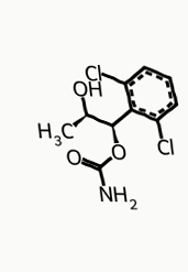 C[C@@H](O)[C@H](OC(N)=O)c1c(Cl)cccc1Cl